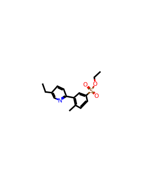 CCOS(=O)(=O)c1ccc(C)c(-c2ccc(CC)cn2)c1